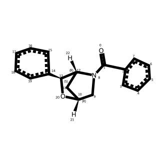 O=C(c1ccccc1)N1C[C@H]2C[C@@H]1[C@H](c1ccccc1)O2